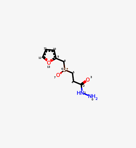 NNC(=O)CC[S+]([O-])Cc1ccco1